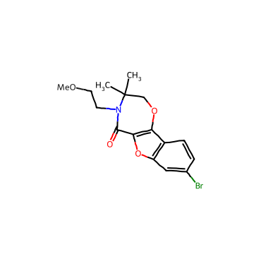 COCCN1C(=O)c2oc3cc(Br)ccc3c2OCC1(C)C